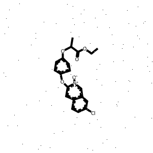 CCOC(=O)C(C)Oc1ccc(Oc2cc3ccc(Cl)cc3c[n+]2[O-])cc1